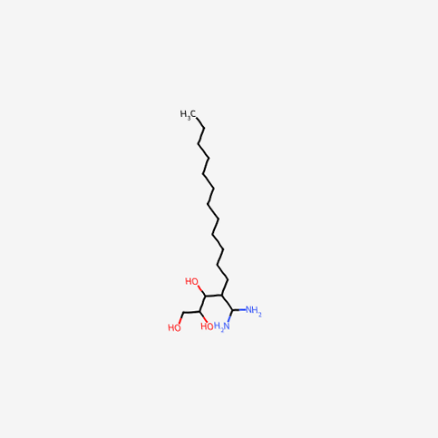 CCCCCCCCCCCCC(C(N)N)C(O)C(O)CO